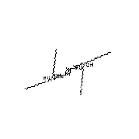 CCCCCCCCCCCCCCC(O)CN(CCCSSCCN1CC(C)N(CCSSCCCN(CC(O)CCCCCCCCCCCCCC)CC(O)CCCCCCCCCCCCCC)CC1C)CC(O)CCCCCCCCCCCCCC